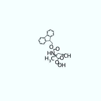 C#CC[C@](C)(NC(=O)OCC1c2ccccc2-c2ccccc21)C(=O)OO